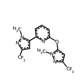 Cn1nc(C(F)(F)F)cc1Oc1cccc(-c2cc(C(F)(F)F)nn2C)n1